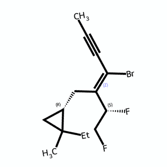 CC#C/C(Br)=C(\C[C@H]1CC1(C)CC)[C@H](F)CF